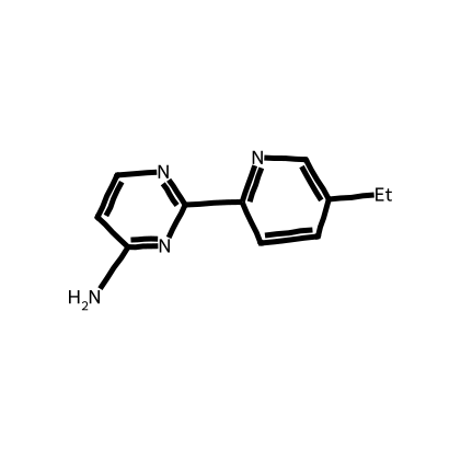 CCc1ccc(-c2nccc(N)n2)nc1